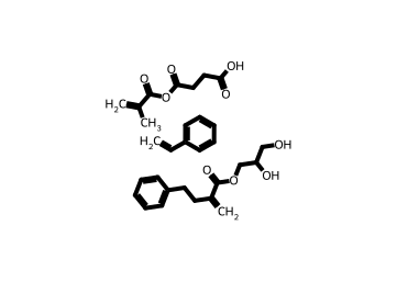 C=C(C)C(=O)OC(=O)CCC(=O)O.C=C(CCc1ccccc1)C(=O)OCC(O)CO.C=Cc1ccccc1